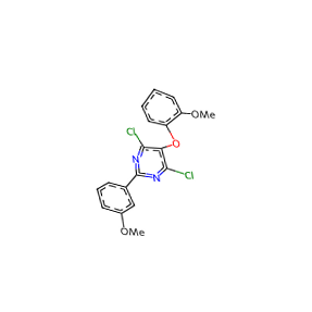 COc1cccc(-c2nc(Cl)c(Oc3ccccc3OC)c(Cl)n2)c1